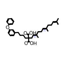 CC(C)=CCC/C(C)=C/CC/C(C)=C/CC(CCCCc1cccc(Oc2ccccc2)c1)(C(=O)O)C(=O)O